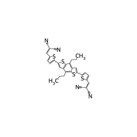 CCCc1c2cc(-c3ccc(C=C(C#N)C#N)s3)sc2c(CCC)c2cc(-c3ccc(C=C(C#N)C#N)s3)sc12